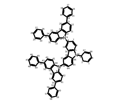 C1=CCC(n2c3ccc(-n4c5ccc(-c6ccccc6)cc5c5cc(-c6ccccc6)ccc54)cc3c3cc(-n4c5ccc(-c6ccccc6)cc5c5cc(-c6ccccc6)ccc54)ccc32)C=C1